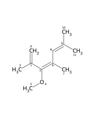 C=C(C)/C(OC)=C(/C)C=C(C)C